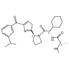 CN[C@@H](C)C(=O)N[C@H](C(=O)N1CCC[C@H]1C1=NC(C(=O)c2cccc(C(C)C)c2)=CC1)C1CCCCC1